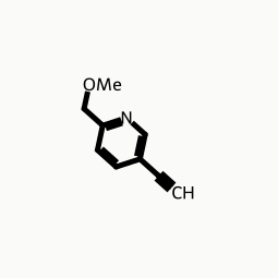 C#Cc1ccc(COC)nc1